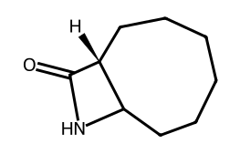 O=C1NC2CCCCCC[C@@H]12